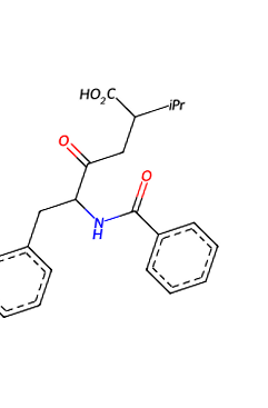 CC(C)C(CC(=O)C(Cc1ccccc1)NC(=O)c1ccccc1)C(=O)O